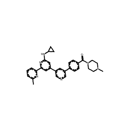 Cc1cccc(-c2cc(-c3cncc(-c4ccc(C(=O)N5CCN(C)CC5)cc4)c3)cc(NC3CC3)n2)n1